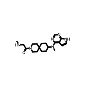 CNCC(=O)N1CCC2(CCC(N(C)c3ncnc4[nH]ccc34)CC2)CC1